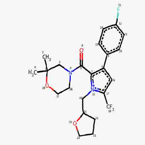 CC1(C)CN(C(=O)c2c(-c3ccc(F)cc3)cc(C(F)(F)F)n2CC2CCCO2)CCO1